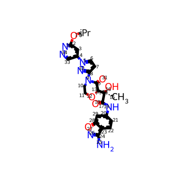 CC(C)Oc1cc(-n2ccc(N3CCO[C@H]([C@@](C)(O)C(=O)Nc4ccc5c(N)noc5c4)C3=O)n2)cnn1